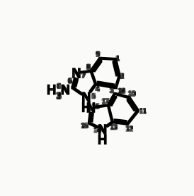 N.c1ccc2[nH]cnc2c1.c1ccc2[nH]cnc2c1